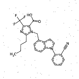 CCCCc1nc(C(F)(F)F)c(C(=O)O)n1Cc1cccc2c1ccn2-c1ccccc1C#N